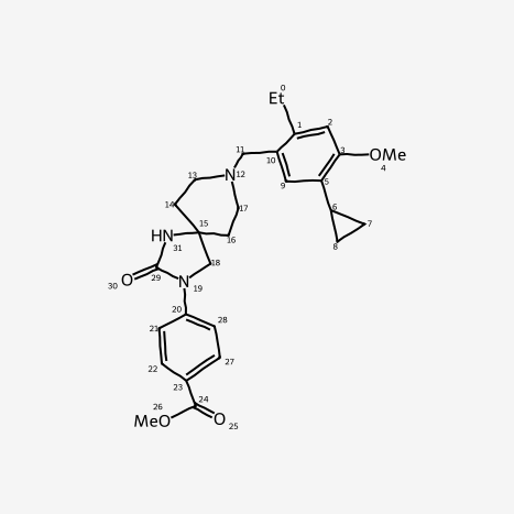 CCc1cc(OC)c(C2CC2)cc1CN1CCC2(CC1)CN(c1ccc(C(=O)OC)cc1)C(=O)N2